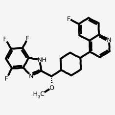 CO[C@H](c1nc2c(F)cc(F)c(F)c2[nH]1)C1CCC(c2ccnc3ccc(F)cc23)CC1